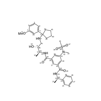 COc1cccc(C2(NC[C@@H](O)[C@H](C)NC(=O)c3cc(C(=O)N[C@H](C)c4ccccc4)cc(N(C)S(C)(=O)=O)c3)CCCC2)c1